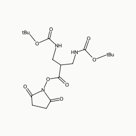 CC(C)(C)OC(=O)NCC(CNC(=O)OC(C)(C)C)C(=O)ON1C(=O)CCC1=O